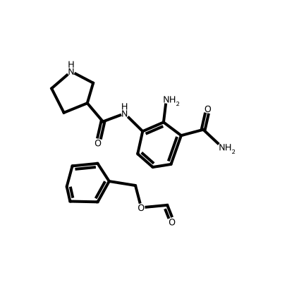 NC(=O)c1cccc(NC(=O)C2CCNC2)c1N.O=COCc1ccccc1